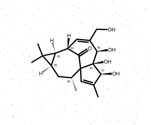 CC1=CC23C(=O)[C@@H](C=C(CO)[C@@H](O)[C@]2(O)[C@H]1O)[C@H]1[C@@H](C[C@H]3C)C1(C)C